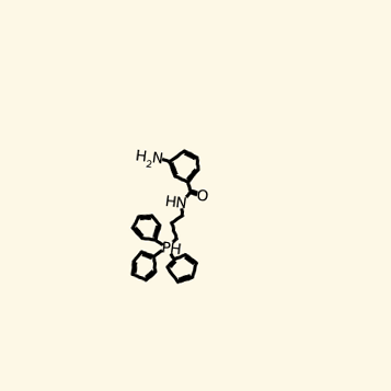 Nc1cccc(C(=O)NCCC[PH](c2ccccc2)(c2ccccc2)c2ccccc2)c1